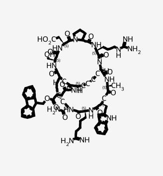 C[C@@H]1NC(=O)[C@@H]2CCCC[C@H](NC(=O)CCC(=O)OCC3c4ccccc4-c4ccccc43)C(=O)C[C@@H](CCCC[C@@H](C(N)=O)NC(=O)[C@H](CCCCC(=N)N)NC(=O)[C@H](Cc3cc4ccccc4[nH]3)CC1=O)C(=O)N[C@@H](CO)C(=O)N[C@@H](CC(=O)O)C(=O)N1CCCC1C(=O)N[C@@H](CCCNC(=N)N)C(=O)N2